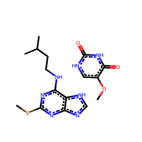 COc1c[nH]c(=O)[nH]c1=O.CSc1nc(NCCC(C)C)c2[nH]cnc2n1